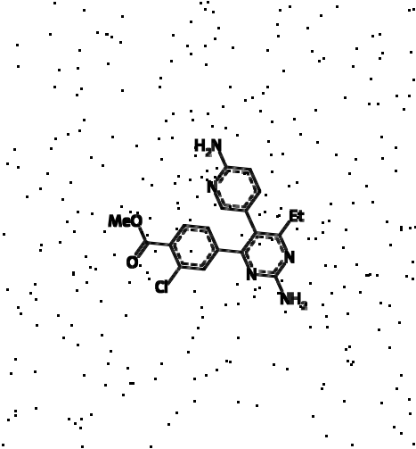 CCc1nc(N)nc(-c2ccc(C(=O)OC)c(Cl)c2)c1-c1ccc(N)nc1